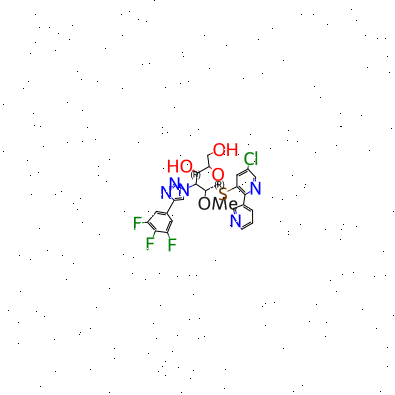 COC1C(n2cc(-c3cc(F)c(F)c(F)c3)nn2)[C@@H](O)C(CO)O[C@@H]1Sc1cc(Cl)cnc1-c1cccnc1